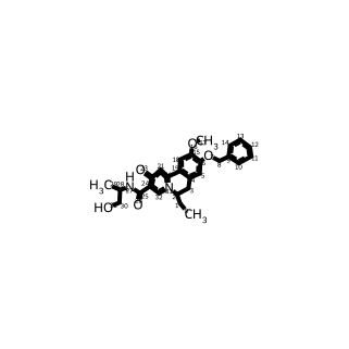 CCC1Cc2cc(OCc3ccccc3)c(OC)cc2-c2cc(=O)c(C(=O)NC(C)CO)cn21